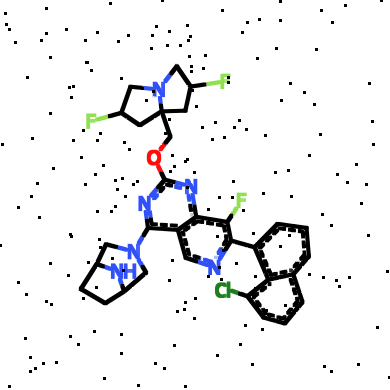 Fc1c(-c2cccc3cccc(Cl)c23)ncc2c(N3CC4CCC(C3)N4)nc(OCC34CC(F)CN3CC(F)C4)nc12